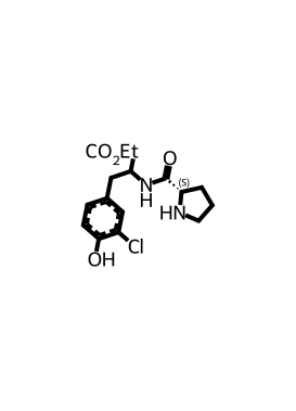 CCOC(=O)C(Cc1ccc(O)c(Cl)c1)NC(=O)[C@@H]1CCCN1